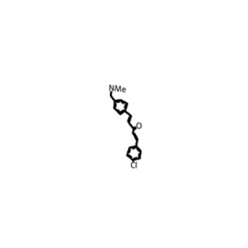 CNCc1ccc(C=CC(=O)C=Cc2ccc(Cl)cc2)cc1